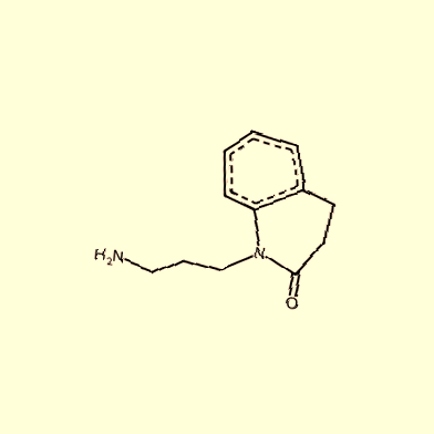 NCCCN1C(=O)CCc2ccccc21